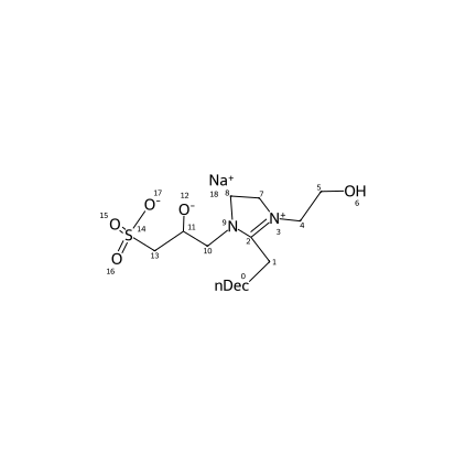 CCCCCCCCCCCC1=[N+](CCO)CCN1CC([O-])CS(=O)(=O)[O-].[Na+]